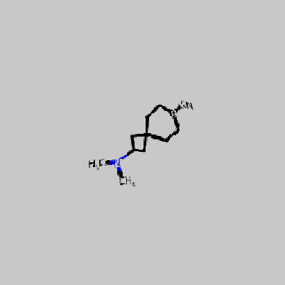 CN(C)C1CC2(CCB(C#N)CC2)C1